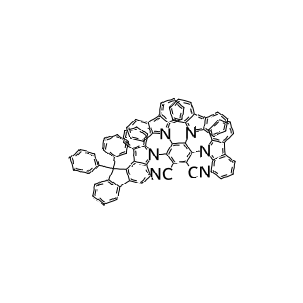 N#Cc1c(C#N)c(-n2c3ccccc3c3c4c(ccc32)-c2ccccc2C4(c2ccccc2)c2ccccc2)c(-n2c3ccccc3c3ccccc32)c(-n2c3ccccc3c3ccccc32)c1-n1c2ccccc2c2ccccc21